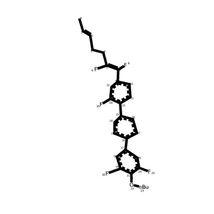 C/C=C/CC/C(F)=C(\F)c1ccc(-c2ccc(-c3cc(F)c(OCCCC)c(F)c3)cc2)c(F)c1